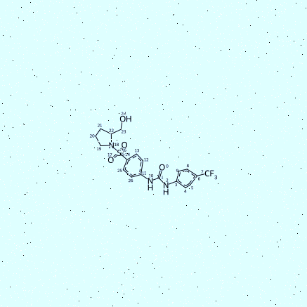 O=C(Nc1ccc(C(F)(F)F)cc1)Nc1ccc(S(=O)(=O)N2CCCC2CO)cc1